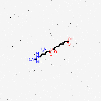 N=C(N)NCCC[C@H](N)C(=O)OC(=O)CCCCCC(=O)O